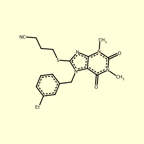 CCc1cccc(Cn2c(SCCCC#N)nc3c2c(=O)n(C)c(=O)n3C)c1